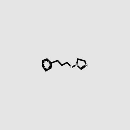 C1=NCCN1OCCCc1ccccc1